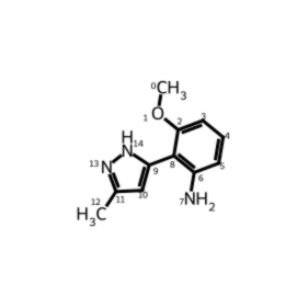 COc1cccc(N)c1-c1cc(C)n[nH]1